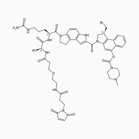 CC(C)[C@H](NC(=O)CCOCCNC(=O)CCN1C(=O)C=CC1=O)C(=O)N[C@@H](CCCNC(N)=O)C(=O)N1CCc2c1ccc1[nH]c(C(=O)N3C[C@@H](CBr)c4c3cc(OC(=O)N3CCN(C)CC3)c3ccccc43)cc21